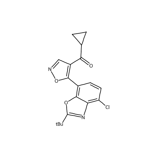 CC(C)(C)c1nc2c(Cl)ccc(-c3oncc3C(=O)C3CC3)c2o1